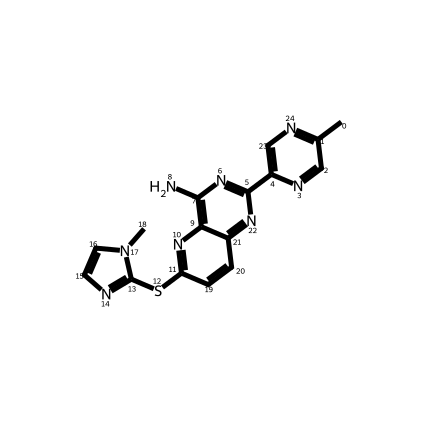 Cc1cnc(-c2nc(N)c3nc(Sc4nccn4C)ccc3n2)cn1